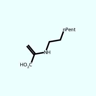 C=C(NCCCCCCC)C(=O)O